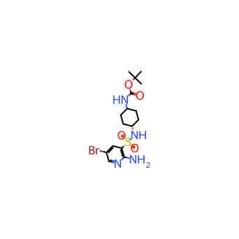 CC(C)(C)OC(=O)N[C@H]1CC[C@H](NS(=O)(=O)c2cc(Br)cnc2N)CC1